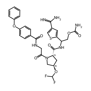 N=C(N)c1csc(C(COC(N)=O)NC(=O)[C@@H]2C[C@@H](OC(F)F)CN2C(=O)CNC(=O)c2ccc(Oc3ccccc3)cc2)c1